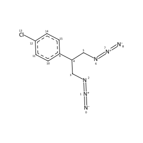 [N-]=[N+]=NCC(CN=[N+]=[N-])c1ccc(Cl)cc1